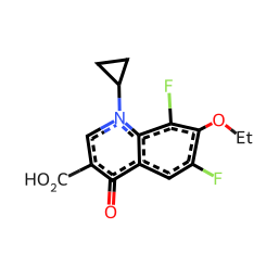 CCOc1c(F)cc2c(=O)c(C(=O)O)cn(C3CC3)c2c1F